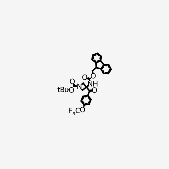 CC(C)(C)OC(=O)N1CC(NC(=O)OCC2c3ccccc3-c3ccccc32)(C(=O)c2ccc(OC(F)(F)F)cc2)C1